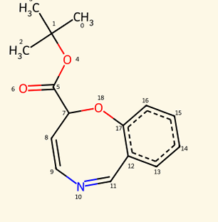 CC(C)(C)OC(=O)C1C=CN=Cc2ccccc2O1